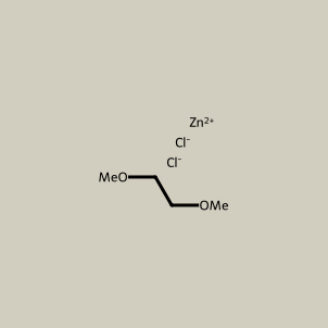 COCCOC.[Cl-].[Cl-].[Zn+2]